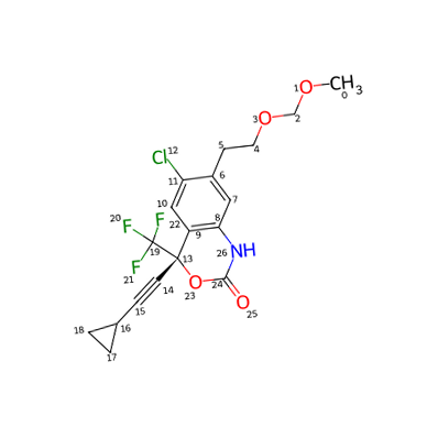 COCOCCc1cc2c(cc1Cl)[C@@](C#CC1CC1)(C(F)(F)F)OC(=O)N2